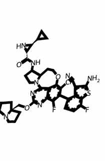 N#Cc1c(N)sc2c(F)ccc(-c3c(Cl)c4c5c(nc(OC[C@@]67CCCN6C[C@H](F)C7)nc5c3F)N3CCC(NC(=O)[C@@H]5N[C@H]5C5CC5)C3CCO4)c12